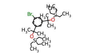 CC[Si](CC)(CC)OC(C)(C)c1cc(Br)cc(C(C)(C)O[Si](CC)(CC)CC)c1